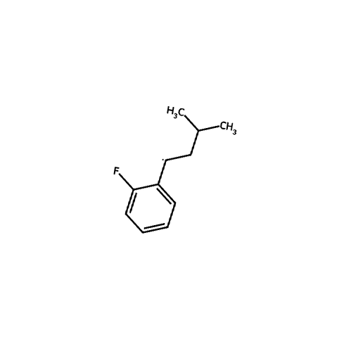 CC(C)C[CH]c1ccccc1F